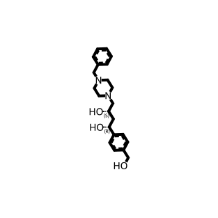 OCc1ccc([C@H](O)C[C@H](O)CN2CCN(Cc3ccccc3)CC2)cc1